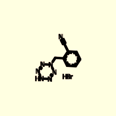 Br.N#Cc1ccccc1CN1N=NNN=N1